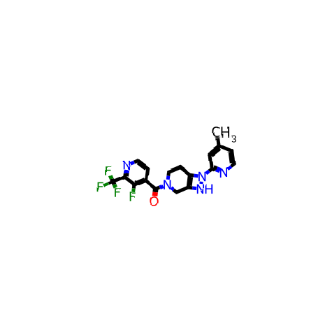 Cc1ccnc(-n2[nH]c3c2CCN(C(=O)c2ccnc(C(F)(F)F)c2F)C3)c1